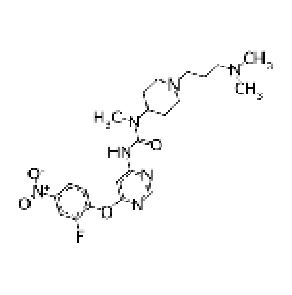 CN(C)CCCN1CCC(N(C)C(=O)Nc2cc(Oc3ccc([N+](=O)[O-])cc3F)ncn2)CC1